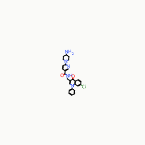 NC1CCN(c2ccc(C(=O)NCc3cn(-c4ccccc4)c4cc(Cl)ccc4c3=O)cn2)CC1